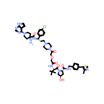 Cc1ncsc1-c1ccc(CNC(=O)[C@@H]2C[C@@H](O)CN2C(=O)[C@@H](NC(=O)COCC(=O)N2CCN(CC[C@H](NC(=O)C3(N)CCN(c4ncnc5[nH]ccc45)CC3)c3ccc(Cl)cc3)CC2)C(C)(C)C)cc1